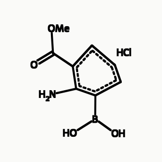 COC(=O)c1cccc(B(O)O)c1N.Cl